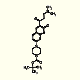 CN(C)C=CC(=O)c1cc2ccc(N3CCN(C(=O)OC(C)(C)C)CC3)cc2oc1=O